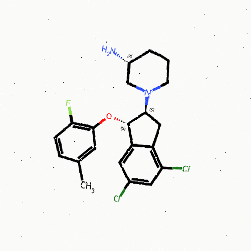 Cc1ccc(F)c(O[C@H]2c3cc(Cl)cc(Cl)c3C[C@@H]2N2CCC[C@@H](N)C2)c1